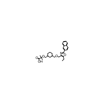 CCc1oc(-c2ccc3ccccc3c2)nc1COC[C@@H]1CCC[C@H](COC(C)(C)C(=O)O)C1